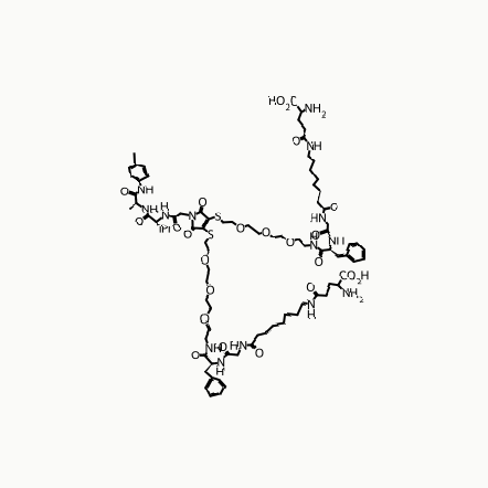 Cc1ccc(NC(=O)[C@H](C)NC(=O)[C@@H](NC(=O)CN2C(=O)C(SCCOCCOCCOCCNC(=O)[C@H](Cc3ccccc3)NC(=O)CNC(=O)CCCCCCCNC(=O)CCC(N)C(=O)O)=C(SCCOCCOCCOCCNC(=O)[C@H](Cc3ccccc3)NC(=O)CNC(=O)CCCCCCCNC(=O)CCC(N)C(=O)O)C2=O)C(C)C)cc1